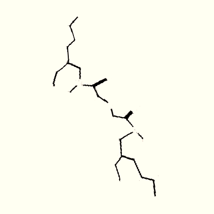 CCCCC(CC)CN(C)C(=O)COCC(=O)N(C)CC(CC)CCCC